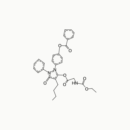 CCCCc1c(OC(=O)CNC(=O)OCC)n(-c2ccc(OC(=O)c3ccccc3)cc2)n(-c2ccccc2)c1=O